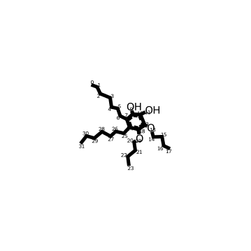 CCCCCCCc1c(O)c(O)c(OCCCC)c(OCCCC)c1CCCCCCC